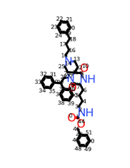 O=C(NCCCCC1NC(=O)C2(CCN(CCCCc3ccccc3)CC2)N(CC(c2ccccc2)c2ccccc2)C1=O)OCc1ccccc1